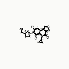 NCC1CCN(c2c(F)cc3c4conc4c(=O)n(C4CC4)c3c2Cl)C1